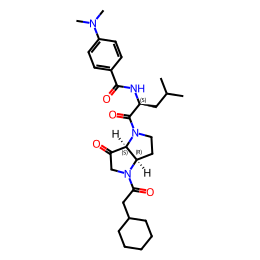 CC(C)C[C@H](NC(=O)c1ccc(N(C)C)cc1)C(=O)N1CC[C@@H]2[C@H]1C(=O)CN2C(=O)CC1CCCCC1